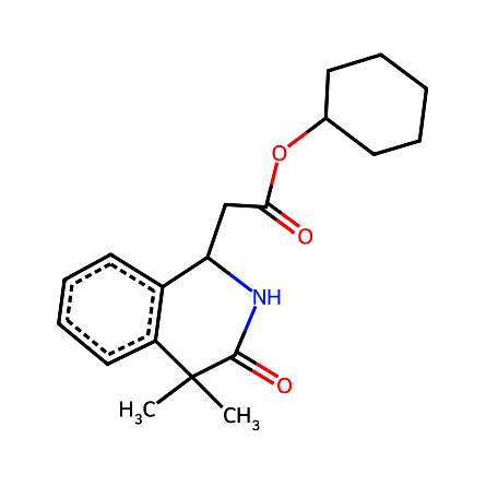 CC1(C)C(=O)NC(CC(=O)OC2CCCCC2)c2ccccc21